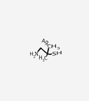 CC(C)(S)CN.[Ag]